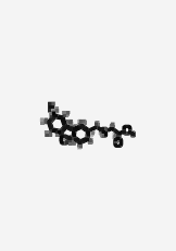 COC(=O)CSCc1ccc2oc3ccc(F)cc3c2c1